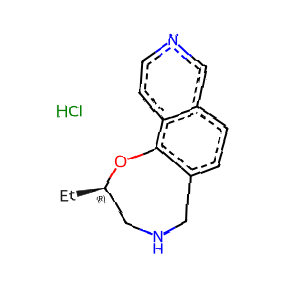 CC[C@@H]1CNCc2ccc3cnccc3c2O1.Cl